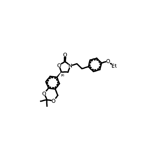 [CH2]COc1ccc(CCN2C[C@@H](c3ccc4c(c3)COC(C)(C)O4)OC2=O)cc1